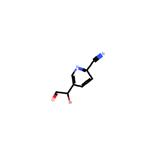 N#Cc1ccc(C(Br)C=O)cn1